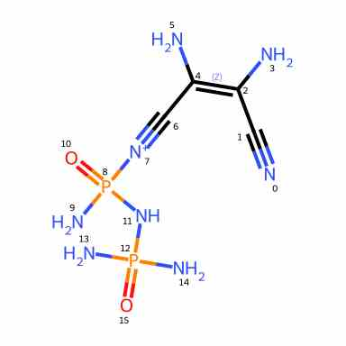 N#C/C(N)=C(/N)C#[N+]P(N)(=O)NP(N)(N)=O